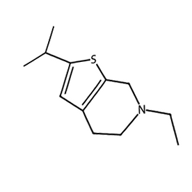 CCN1CCc2cc(C(C)C)sc2C1